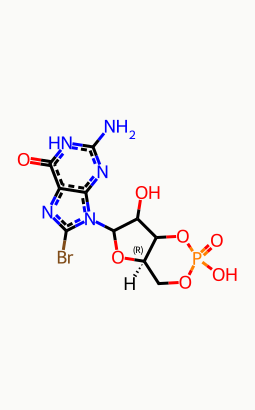 Nc1nc2c(nc(Br)n2C2O[C@@H]3COP(=O)(O)OC3C2O)c(=O)[nH]1